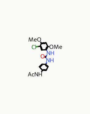 COc1cc(OC)c(NC(=O)Nc2ccc(NC(C)=O)cc2)cc1Cl